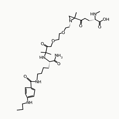 CCCNc1ccc(C(=O)NCCCC[C@H](NC(C)(C)C(=O)COCCOCC[N@]2CC2(C)C(=O)CC[C@H](NC)C(=O)O)C(N)=O)cc1